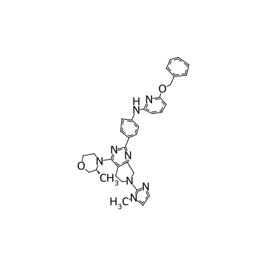 C[C@H]1COCCN1c1nc(-c2ccc(Nc3cccc(OCc4ccccc4)n3)cc2)nc2c1CCN(c1nccn1C)C2